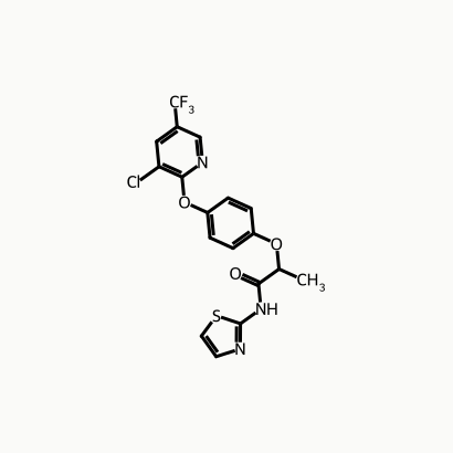 CC(Oc1ccc(Oc2ncc(C(F)(F)F)cc2Cl)cc1)C(=O)Nc1nccs1